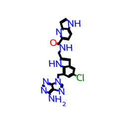 Nc1ncnc2c1ncn2Cc1cc(Cl)cc2cc(CNC(=O)c3ccc4[nH]ccc4n3)[nH]c12